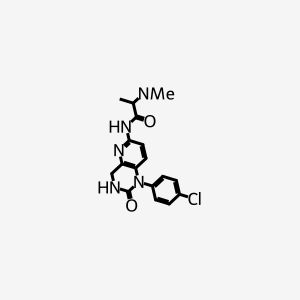 CNC(C)C(=O)Nc1ccc2c(n1)CNC(=O)N2c1ccc(Cl)cc1